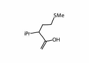 C=C(O)C(CCSC)C(C)C